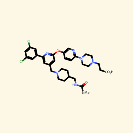 CNC(=O)NCC1CCN(Cc2cc(Oc3ccc(N4CCN(CCC(=O)O)CC4)nc3)nc(-c3cc(Cl)cc(Cl)c3)c2)CC1